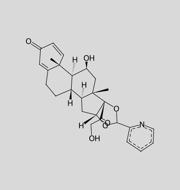 C[C@]12C=CC(=O)C=C1CC[C@@H]1[C@@H]2[C@@H](O)C[C@@]2(C)[C@H]1C[C@H]1OC(c3ccccn3)O[C@]12C(=O)CO